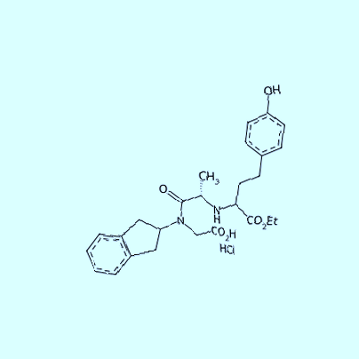 CCOC(=O)C(CCc1ccc(O)cc1)N[C@@H](C)C(=O)N(CC(=O)O)C1Cc2ccccc2C1.Cl